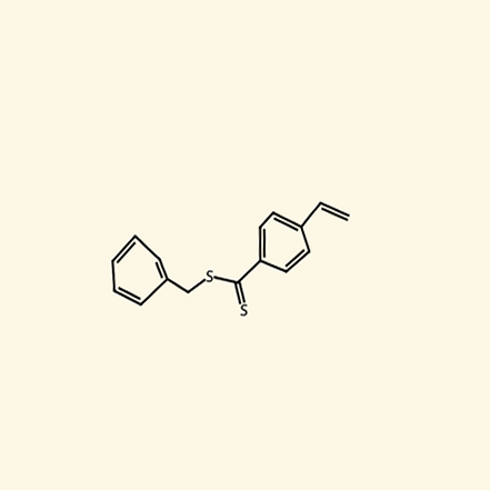 C=Cc1ccc(C(=S)SCc2ccccc2)cc1